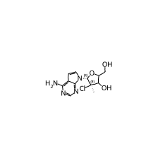 C[C@@]1(Cl)C(O)C(CO)O[C@H]1n1ccc2c(N)ncnc21